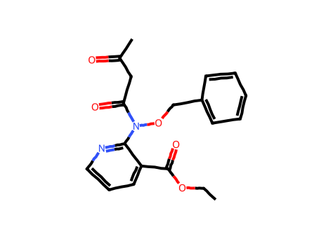 CCOC(=O)c1cccnc1N(OCc1ccccc1)C(=O)CC(C)=O